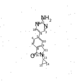 Nc1ncc(-c2ccc3c(c2)CN(C2CC2)C3=O)cn1